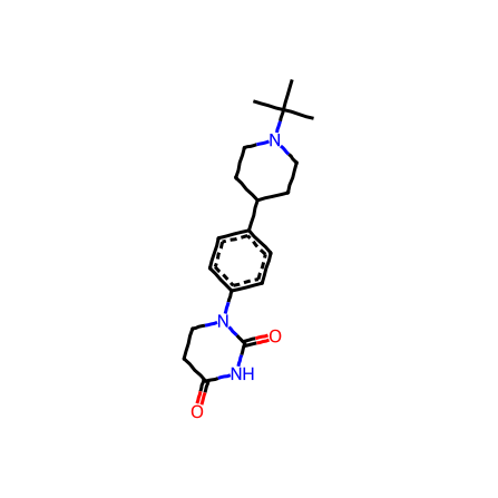 CC(C)(C)N1CCC(c2ccc(N3CCC(=O)NC3=O)cc2)CC1